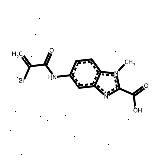 C=C(Br)C(=O)Nc1ccc2c(c1)nc(C(=O)O)n2C